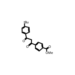 COC(=O)c1ccc(C(=O)CC(=O)c2ccc(C(C)(C)C)cc2)cc1